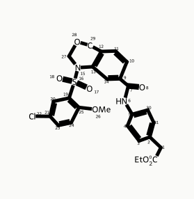 CCOC(=O)Cc1ccc(NC(=O)c2ccc3c(c2)N(S(=O)(=O)c2cc(Cl)ccc2OC)COC3)cc1